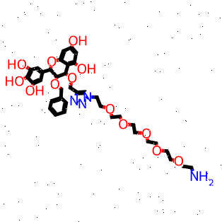 NCCOCCOCCOCCOCCOCCn1cc(COC2c3c(O)cc(O)cc3OC(c3cc(O)c(O)c(O)c3)C2OCc2ccccc2)nn1